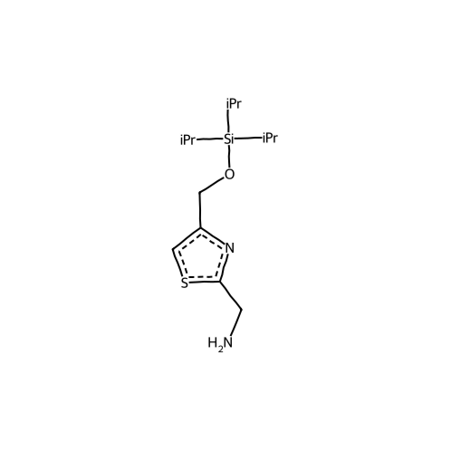 CC(C)[Si](OCc1csc(CN)n1)(C(C)C)C(C)C